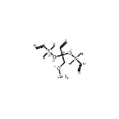 C=CC(CO[SiH3])(O[Si](C)(C)C=C)O[Si](C)(C)C=C